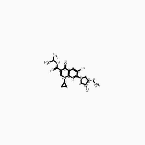 CC(C)OC(=O)c1cn(C2CC2)c2nc(N3C[C@H](CN)[C@H](Cl)C3)c(F)cc2c1=O